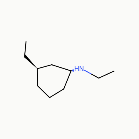 CCN[C@H]1CCC[C@@H](CC)C1